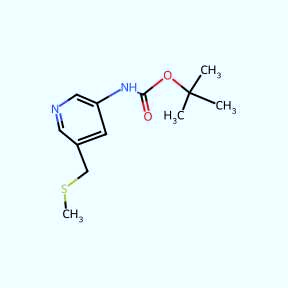 CSCc1cncc(NC(=O)OC(C)(C)C)c1